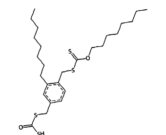 CCCCCCCCOC(=S)SCc1ccc(CSC(=O)S)cc1CCCCCCCC